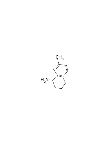 Cc1ccc2c(n1)[C@@H](N)CCC2